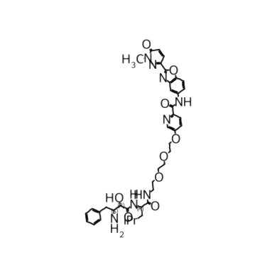 CC(C)C[C@@H](NC(=O)[C@H](O)[C@@H](N)Cc1ccccc1)C(=O)NCCOCCOCCOc1ccc(C(=O)Nc2ccc3oc(-c4ccc(=O)n(C)n4)nc3c2)nc1